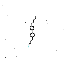 CCCCCc1ccc(-c2ccc(CCC=CF)cc2)cc1